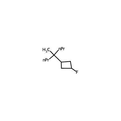 CCCC(C)(CCC)C1CC(F)C1